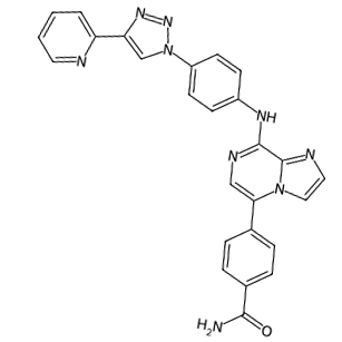 NC(=O)c1ccc(-c2cnc(Nc3ccc(-n4cc(-c5ccccn5)nn4)cc3)c3nccn23)cc1